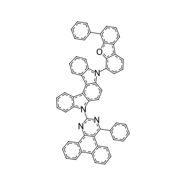 c1ccc(-c2cccc3c2oc2c(-n4c5ccccc5c5c6c7ccccc7n(-c7nc(-c8ccccc8)c8c9ccccc9c9ccccc9c8n7)c6ccc54)cccc23)cc1